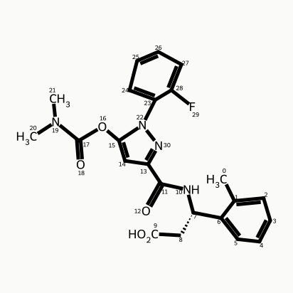 Cc1ccccc1[C@H](CC(=O)O)NC(=O)c1cc(OC(=O)N(C)C)n(-c2ccccc2F)n1